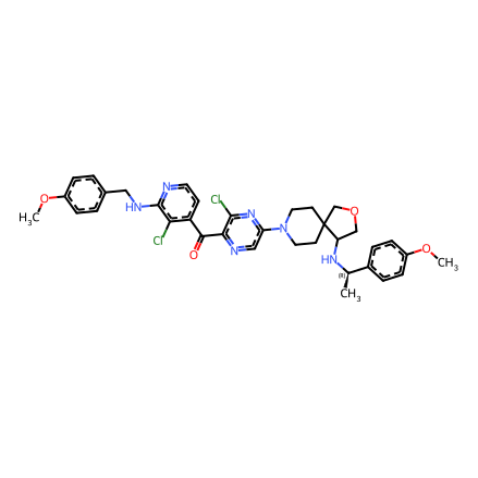 COc1ccc(CNc2nccc(C(=O)c3ncc(N4CCC5(CC4)COCC5N[C@H](C)c4ccc(OC)cc4)nc3Cl)c2Cl)cc1